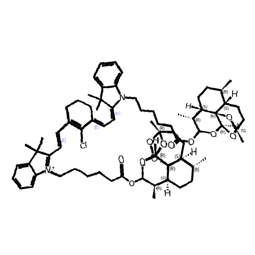 C[C@@H]1CC[C@H]2[C@@H](C)C(OC(=O)CCCCC[N+]3=C(/C=C/C4=C(Cl)C(=C/C=C5/N(CCCCCC(=O)OC6O[C@@H]7O[C@@]8(C)CC[C@H]9[C@H](C)CC[C@@H]([C@H]6C)[C@@]79O8)c6ccccc6C5(C)C)/CCC4)C(C)(C)c4ccccc43)O[C@@H]3O[C@@]4(C)CC[C@@H]1[C@]32OO4